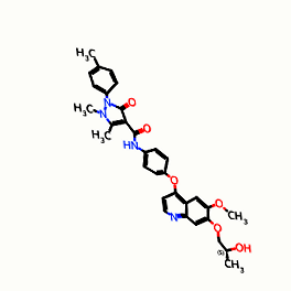 COc1cc2c(Oc3ccc(NC(=O)c4c(C)n(C)n(-c5ccc(C)cc5)c4=O)cc3)ccnc2cc1OC[C@H](C)O